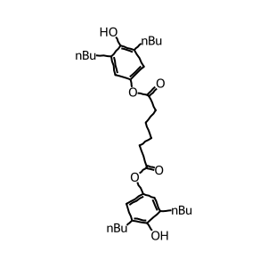 CCCCc1cc(OC(=O)CCCCC(=O)Oc2cc(CCCC)c(O)c(CCCC)c2)cc(CCCC)c1O